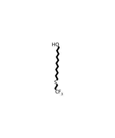 OCCCCCCCCCCCSCCC(F)(F)F